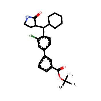 CC(C)(C)OC(=O)c1cccc(-c2ccc(C(C3CCCCC3)C3CCNC3=O)c(Cl)c2)c1